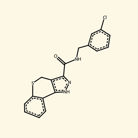 O=C(NCc1cccc(Cl)c1)c1n[nH]c2c1CSc1ccccc1-2